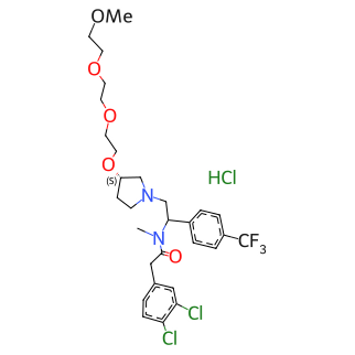 COCCOCCOCCO[C@H]1CCN(CC(c2ccc(C(F)(F)F)cc2)N(C)C(=O)Cc2ccc(Cl)c(Cl)c2)C1.Cl